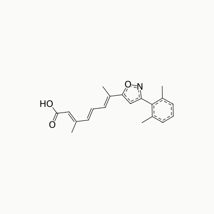 CC(C=CC=C(C)c1cc(-c2c(C)cccc2C)no1)=CC(=O)O